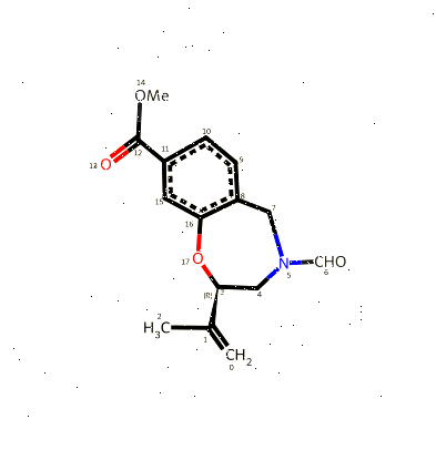 C=C(C)[C@@H]1CN(C=O)Cc2ccc(C(=O)OC)cc2O1